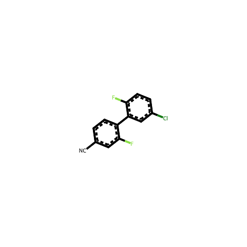 N#Cc1ccc(-c2cc(Cl)ccc2F)c(F)c1